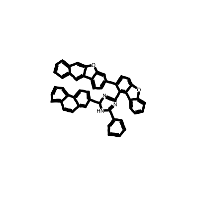 c1ccc(C2=NC(c3c(-c4ccc5c(c4)oc4cc6ccccc6cc45)ccc4oc5ccccc5c34)=NC(c3ccc4c(ccc5ccccc54)c3)N2)cc1